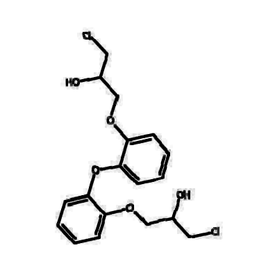 OC(CCl)COc1ccccc1Oc1ccccc1OCC(O)CCl